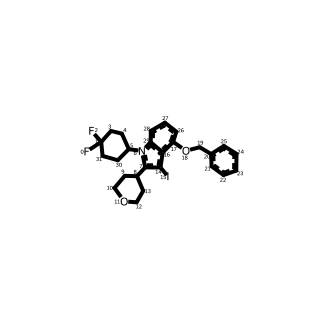 FC1(F)CCC(n2c(C3CCOCC3)c(I)c3c(OCc4ccccc4)cccc32)CC1